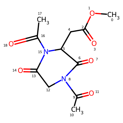 COC(=O)CC1C(=O)N(C(C)=O)CC(=O)N1C(C)=O